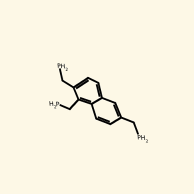 PCc1ccc2c(CP)c(CP)ccc2c1